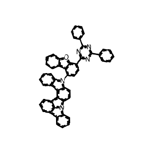 c1ccc(-c2nc(-c3ccccc3)nc(-c3ccc(-n4c5ccccc5c5c6c7cccc8c9ccccc9n(c6ccc54)c87)c4c3oc3ccccc34)n2)cc1